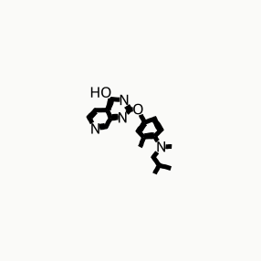 Cc1cc(Oc2nc(O)c3ccncc3n2)ccc1N(C)CC(C)C